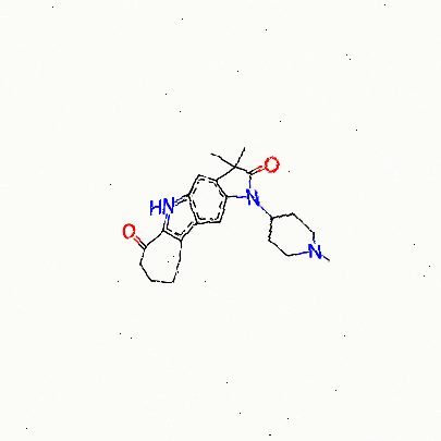 CN1CCC(N2C(=O)C(C)(C)c3cc4[nH]c5c(c4cc32)CCCCC5=O)CC1